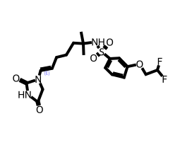 CC(C)(CCC/C=C/N1CC(=O)NC1=O)NS(=O)(=O)c1cccc(OCC(F)F)c1